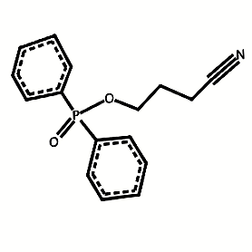 N#CCCCOP(=O)(c1ccccc1)c1ccccc1